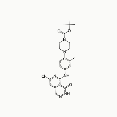 Cc1cc(Nc2nc(Cl)cc3cn[nH]c(=O)c23)ccc1N1CCN(C(=O)OC(C)(C)C)CC1